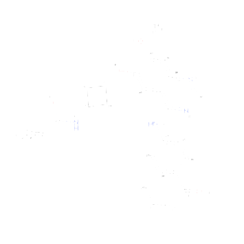 C=CC(=O)NC1CC(Oc2cc3c(Nc4ccc5c(c4)CCCC5=O)ncnc3cc2OC)C1